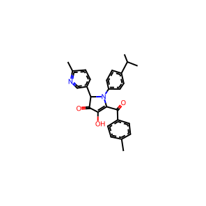 Cc1ccc(C(=O)C2=C(O)C(=O)C(c3ccc(C)nc3)N2c2ccc(C(C)C)cc2)cc1